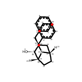 O[C@@H]1[C@@H](Cc2ccccc2)C[C@@H]2CC[C@H]1N2Cc1ccccc1